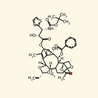 C=C[C@@H]1O[C@@H]2C3=C(C)[C@@H](OC(=O)[C@H](O)[C@@H](NC(=O)OC(C)(C)C)c4nccs4)C[C@](O)(C3=C)[C@@H](OC(=O)c3ccccc3)[C@H]3[C@@](C)(CC[C@H]4OC[C@]43OC(C)=O)[C@@H]2O1